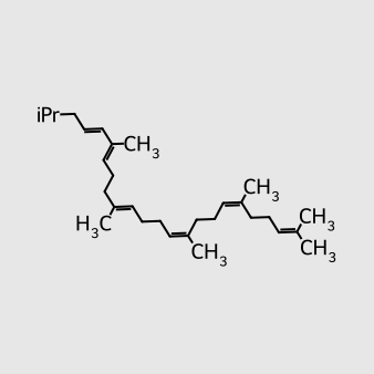 CC(C)=CCCC(C)=CCCC(C)=CCCC=C(C)CCC=C(C)C=CCC(C)C